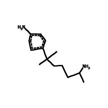 CC(N)CCCC(C)(C)c1ccc(N)cc1